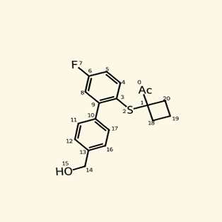 CC(=O)C1(Sc2ccc(F)cc2-c2ccc(CO)cc2)CCC1